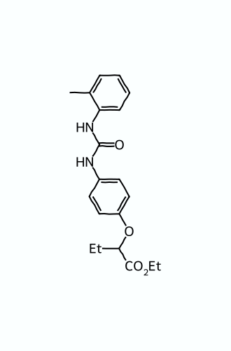 CCOC(=O)C(CC)Oc1ccc(NC(=O)Nc2ccccc2C)cc1